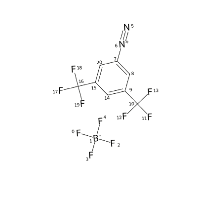 F[B-](F)(F)F.N#[N+]c1cc(C(F)(F)F)cc(C(F)(F)F)c1